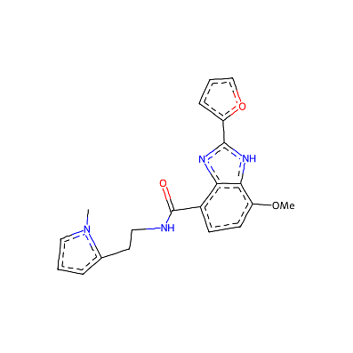 COc1ccc(C(=O)NCCc2cccn2C)c2nc(-c3ccco3)[nH]c12